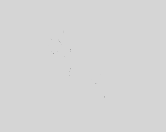 C=C(COCP(=O)(O)OP(=O)(O)OP(=O)(O)O)C(CO)n1cnc2c(N)ncnc21